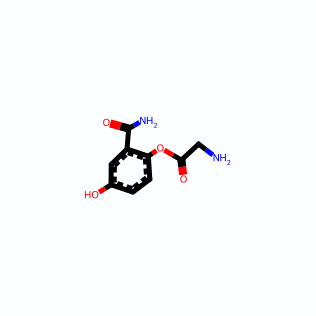 NCC(=O)Oc1ccc(O)cc1C(N)=O